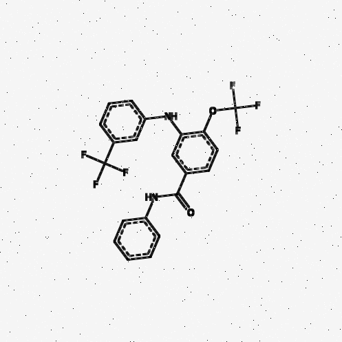 O=C(Nc1ccccc1)c1ccc(OC(F)(F)F)c(Nc2cccc(C(F)(F)F)c2)c1